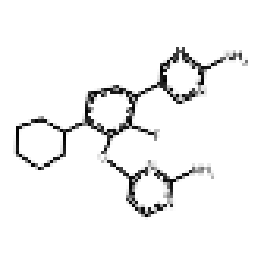 Nc1ncc(-c2ccc(C3CCCCC3)c(Oc3ccnc(N)n3)c2F)cn1